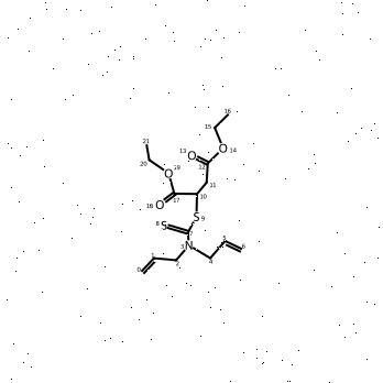 C=CCN(CC=C)C(=S)SC(CC(=O)OCC)C(=O)OCC